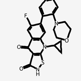 O=c1[nH]sc2c1c(=O)c1cc(F)c(-c3ccccc3N3CCOCC3)cc1n2C1CC1